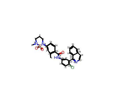 Cc1cc(N2CCCN(C)S2(=O)=O)ccc1C(=O)Nc1ccc(Cl)c(-c2nccc3ccccc23)c1